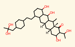 CC(O)C1C(=O)[C@@]2(C)C(C)C3C(O)C4C(O)CCC(CCC5CCC(CC(C)(O)O)CC5)C4C[C@H]3C[C@H]2CC1O